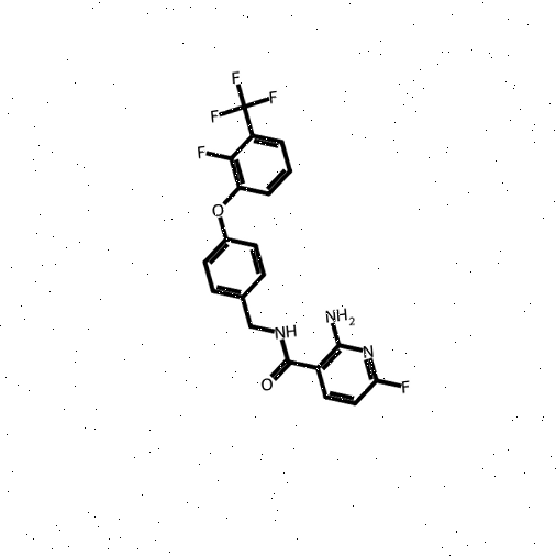 Nc1nc(F)ccc1C(=O)NCc1ccc(Oc2cccc(C(F)(F)F)c2F)cc1